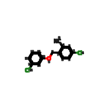 N#Cc1cc(Cl)ccc1COc1[c]ccc(Cl)c1